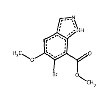 COC(=O)c1c(Br)c(OC)cc2cn[nH]c12